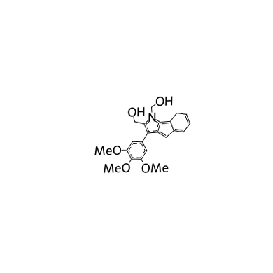 COc1cc(-c2c(CO)n(CO)c3c2=CC2=CC=CCC=32)cc(OC)c1OC